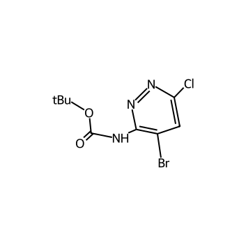 CC(C)(C)OC(=O)Nc1nnc(Cl)cc1Br